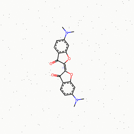 CN(C)c1ccc2c(c1)O/C(=C1\Oc3cc(N(C)C)ccc3C1=O)C2=O